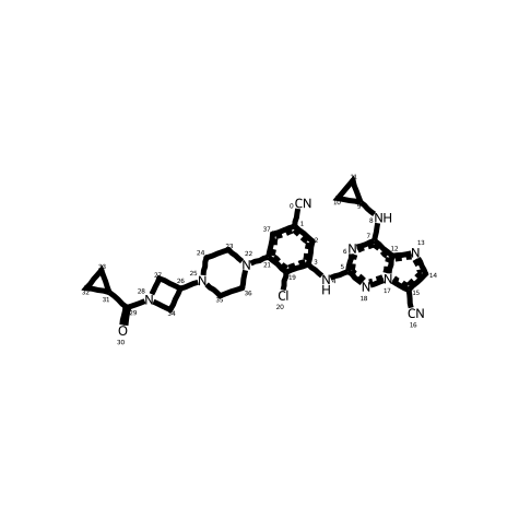 N#Cc1cc(Nc2nc(NC3CC3)c3ncc(C#N)n3n2)c(Cl)c(N2CCN(C3CN(C(=O)C4CC4)C3)CC2)c1